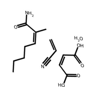 C=CC#N.CCCCC=C(C)C(N)=O.O.O=C(O)/C=C\C(=O)O